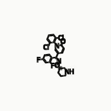 O=c1ccc(C(=NO[C@@H]2CCCNC2)c2ccc(F)cc2F)cn1-c1c(Cl)cccc1Cl